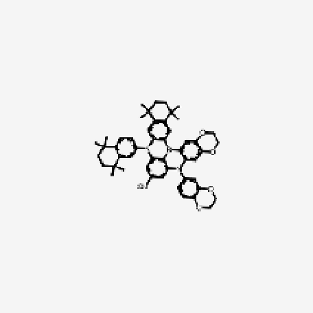 CC(C)(C)c1cc2c3c(c1)N(c1ccc4c(c1)C(C)(C)CCC4(C)C)c1cc4c(cc1B3c1cc3c(cc1N2c1ccc2c(c1)OCCO2)OCCO3)C(C)(C)CCC4(C)C